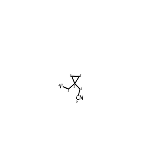 N#CCC1(CF)CC1